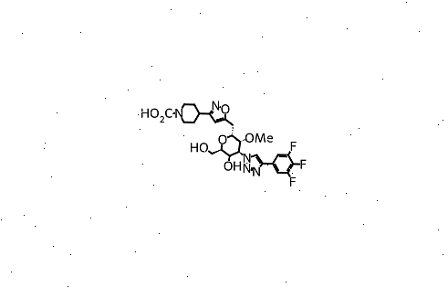 CO[C@@H]1[C@@H](n2cc(-c3cc(F)c(F)c(F)c3)nn2)[C@@H](O)[C@@H](CO)O[C@@H]1Cc1cc(C2CCN(C(=O)O)CC2)no1